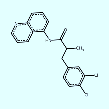 CC(Cc1ccc(Cl)c(Cl)c1)C(=O)Nc1cccc2ncccc12